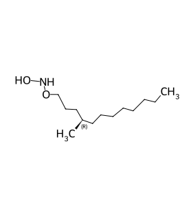 CCCCCCCC[C@@H](C)CCCONO